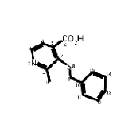 Cc1nccc(C(=O)O)c1SCc1ccccc1